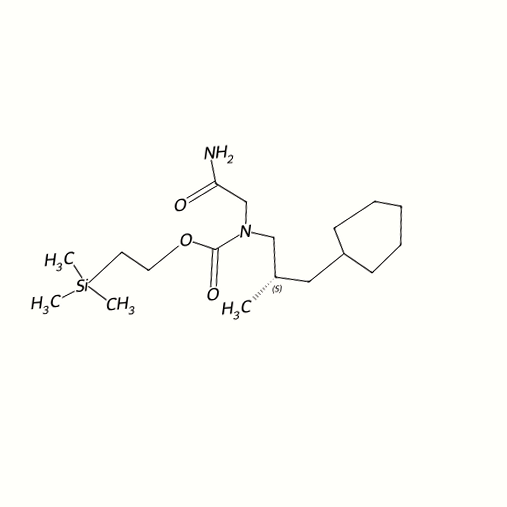 C[C@@H](CC1CCCCC1)CN(CC(N)=O)C(=O)OCC[Si](C)(C)C